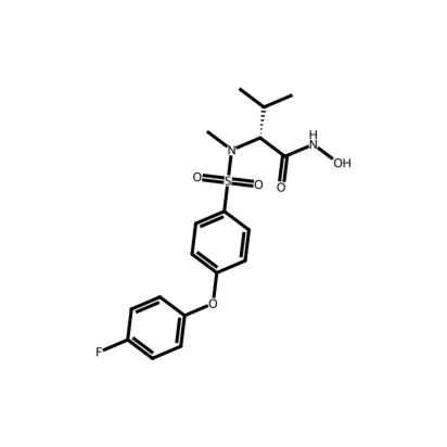 CC(C)[C@H](C(=O)NO)N(C)S(=O)(=O)c1ccc(Oc2ccc(F)cc2)cc1